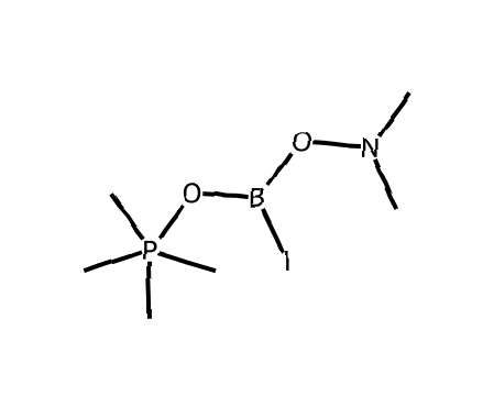 CN(C)OB(I)OP(C)(C)(C)C